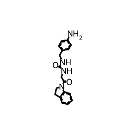 Nc1ccc(CNC(=O)NCC(=O)N2CCc3ccccc32)cc1